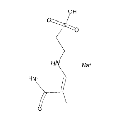 CC(=CNCCS(=O)(=O)O)C([NH-])=O.[Na+]